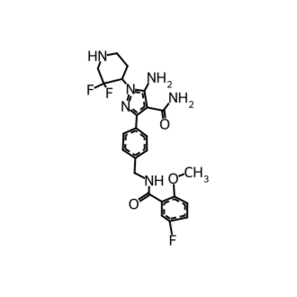 COc1ccc(F)cc1C(=O)NCc1ccc(-c2nn(C3CCNCC3(F)F)c(N)c2C(N)=O)cc1